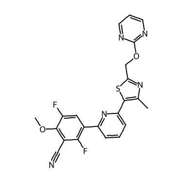 COc1c(F)cc(-c2cccc(-c3sc(COc4ncccn4)nc3C)n2)c(F)c1C#N